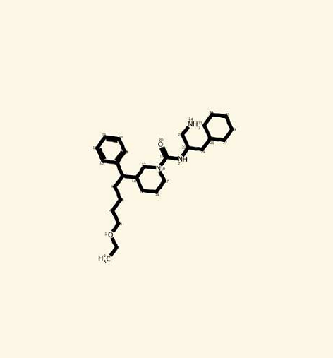 CCOCCCCC(c1ccccc1)C1CCCN(C(=O)NC(CN)CC2CCCCC2)C1